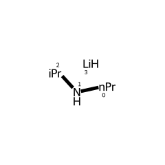 CCCNC(C)C.[LiH]